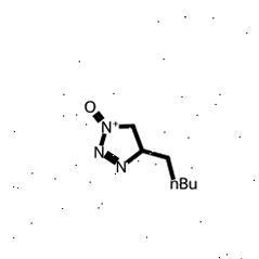 CCCCCC1C[N+](=O)N=N1